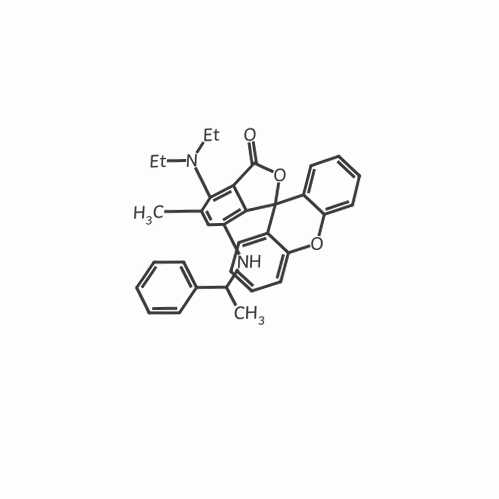 CCN(CC)c1c(C)cc(NC(C)c2ccccc2)c2c1C(=O)OC21c2ccccc2Oc2ccccc21